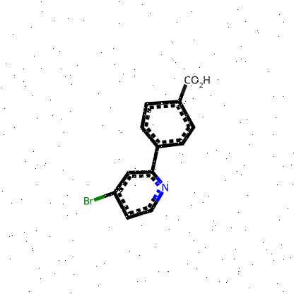 O=C(O)c1ccc(-c2cc(Br)ccn2)cc1